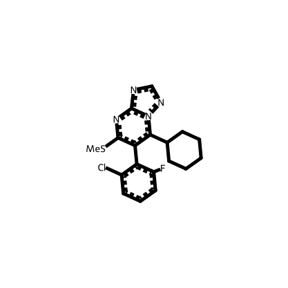 CSc1nc2ncnn2c(C2CCCCC2)c1-c1c(F)cccc1Cl